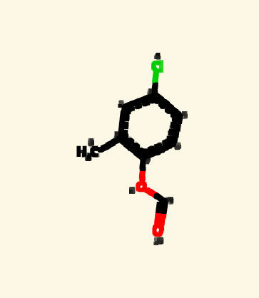 Cc1cc(Cl)ccc1O[C]=O